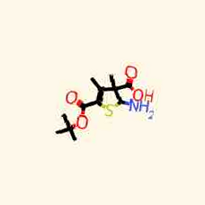 CC1=C(C(=O)OC(C)(C)C)SC(N)C1(C)C(=O)O